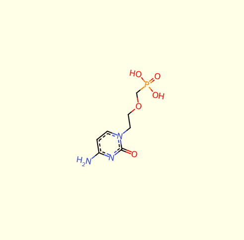 Nc1ccn(CCOCP(=O)(O)O)c(=O)n1